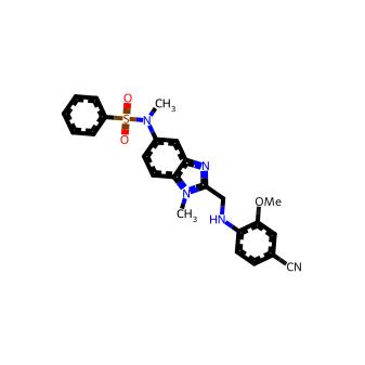 COc1cc(C#N)ccc1NCc1nc2cc(N(C)S(=O)(=O)c3ccccc3)ccc2n1C